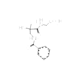 CC(S)(CNC(=O)c1ccccc1)C(=O)NCC(=O)O